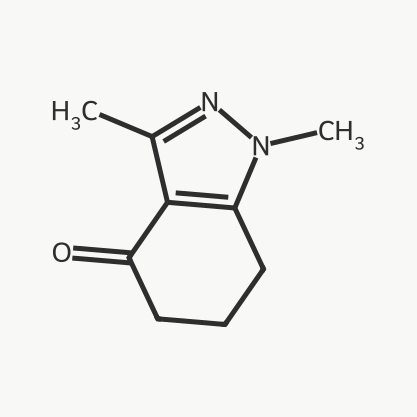 Cc1nn(C)c2c1C(=O)CCC2